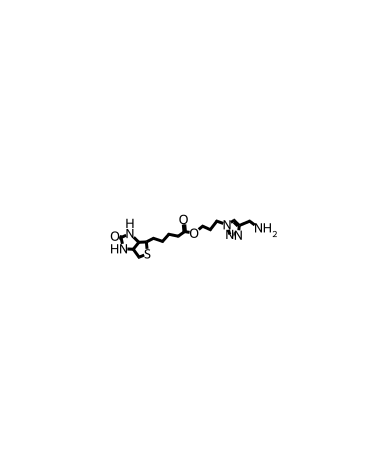 NCc1cn(CCCOC(=O)CCCCC2SCC3NC(=O)NC32)nn1